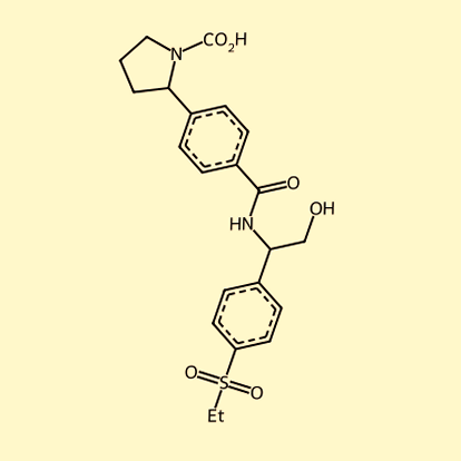 CCS(=O)(=O)c1ccc(C(CO)NC(=O)c2ccc(C3CCCN3C(=O)O)cc2)cc1